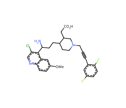 COc1ccc2ncc(Cl)c(C(N)CCC3CCN(CC#Cc4cc(F)ccc4F)CC3CC(=O)O)c2c1